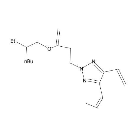 C=Cc1nn(CCC(=C)OCC(CC)CCCC)nc1/C=C\C